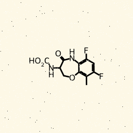 Cc1c(F)cc(F)c2c1OCC(NC(=O)O)C(=O)N2